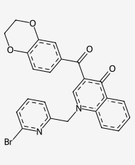 O=C(c1ccc2c(c1)OCCO2)c1cn(Cc2cccc(Br)n2)c2ccccc2c1=O